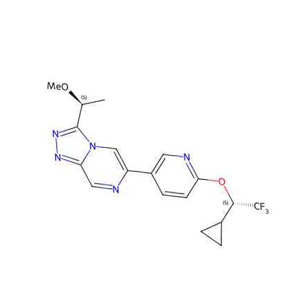 CO[C@@H](C)c1nnc2cnc(-c3ccc(O[C@@H](C4CC4)C(F)(F)F)nc3)cn12